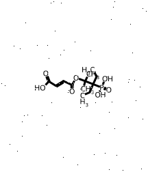 CCC(CC)(C(C)(C)OC(=O)C=CC(=O)O)P(=O)(O)O